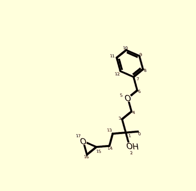 CC(O)(CCOCc1ccccc1)CCC1CO1